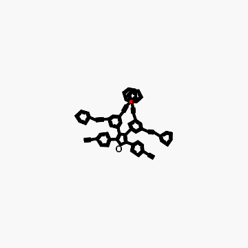 C#Cc1ccc(C2=C(c3cc(C#Cc4ccccc4)cc(C#Cc4ccccc4)c3)C(c3cc(C#Cc4ccccc4)cc(C#Cc4ccccc4)c3)=C(c3ccc(C#C)cc3)C2=O)cc1